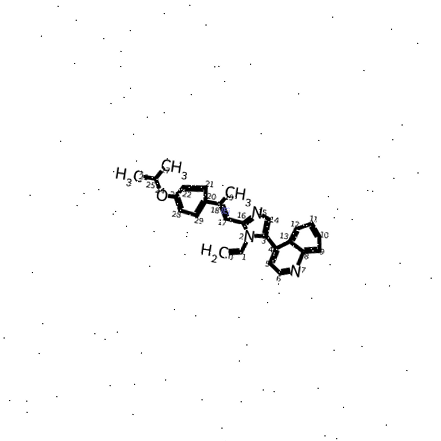 C=Cn1c(-c2ccnc3ccccc23)cnc1/C=C(\C)c1ccc(OC(C)C)cc1